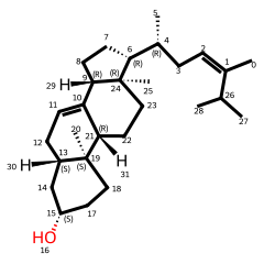 CC(=CC[C@@H](C)[C@H]1CC[C@H]2C3=CC[C@H]4C[C@@H](O)CC[C@]4(C)[C@H]3CC[C@]12C)C(C)C